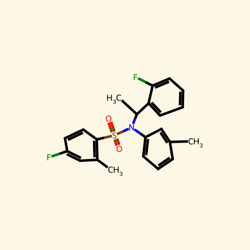 Cc1cccc(N(C(C)c2ccccc2F)S(=O)(=O)c2ccc(F)cc2C)c1